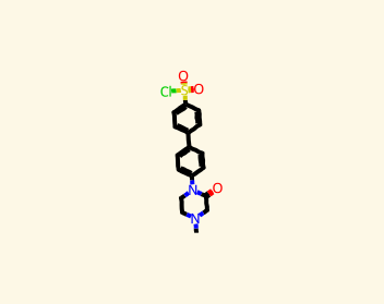 CN1CCN(c2ccc(-c3ccc(S(=O)(=O)Cl)cc3)cc2)C(=O)C1